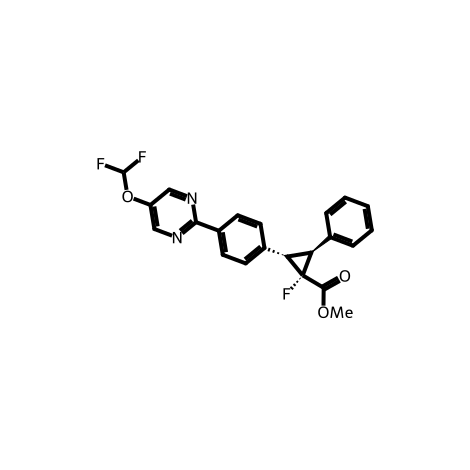 COC(=O)[C@]1(F)[C@H](c2ccccc2)[C@H]1c1ccc(-c2ncc(OC(F)F)cn2)cc1